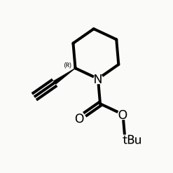 C#C[C@H]1CCCCN1C(=O)OC(C)(C)C